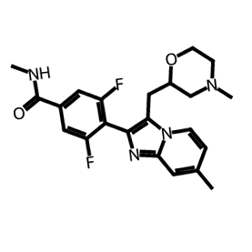 CNC(=O)c1cc(F)c(-c2nc3cc(C)ccn3c2CC2CN(C)CCO2)c(F)c1